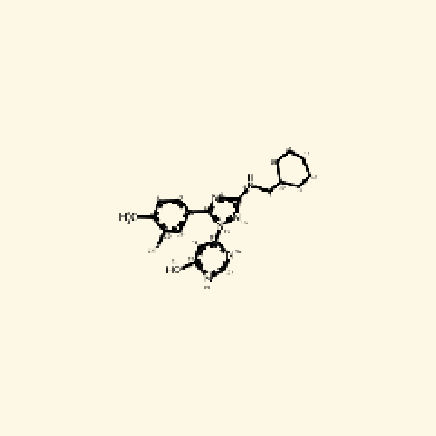 Cc1ccc(-c2nc(NCC3CCCCC3)nn2-c2cc(O)ncn2)cc1F